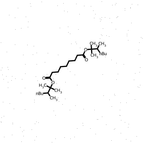 CCCCC(C)C(C)(C)OC(=O)CCCCCCCC(=O)OC(C)(C)C(C)CCCC